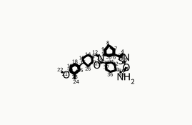 COc1ncc(-c2cccc(N(C[C@H]3CC[C@H](c4ccc(OC)c(C)c4)CC3)C(=O)[C@H]3CC[C@H](CN)CC3)c2)s1